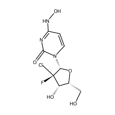 O=c1nc(NO)ccn1[C@@H]1O[C@H](CO)[C@H](O)[C@]1(F)Cl